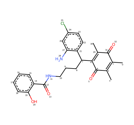 CC1=C(C)C(=O)C(C(CCCNC(=O)c2ccccc2O)c2ccc(Cl)cc2N)=C(C)C1=O